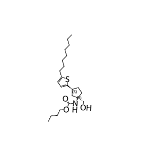 CCCCCCCCc1ccc([C@H]2CC[C@@](CO)(NC(=O)OCCCC)C2)s1